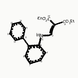 CCOC(=O)C(=CNc1ccccc1-c1ccccc1)C(=O)OCC